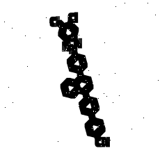 N#Cc1ccc(-c2ccc(-c3ccc(-c4ccc(-n5nc6cc(Cl)c(Cl)cc6n5)cc4)c4ccccc34)cc2)cc1